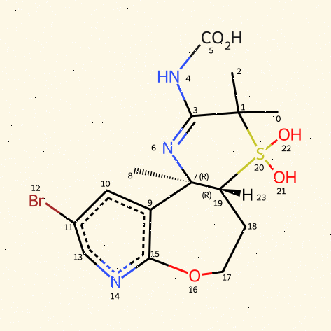 CC1(C)C(NC(=O)O)=N[C@]2(C)c3cc(Br)cnc3OCC[C@H]2S1(O)O